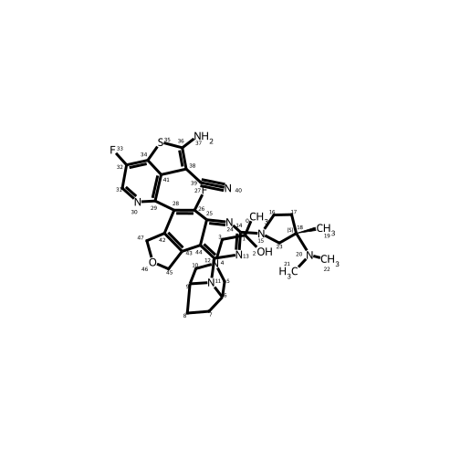 CC(O)CN1CC2CCC(C1)N2c1nc(N2CC[C@](C)(N(C)C)C2)nc2c(F)c(-c3ncc(F)c4sc(N)c(C#N)c34)c3c(c12)COC3